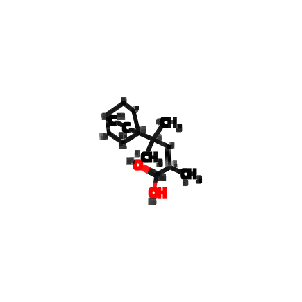 CC(=CC(C)(C)C12CCC(CC1)CC2)C(=O)O